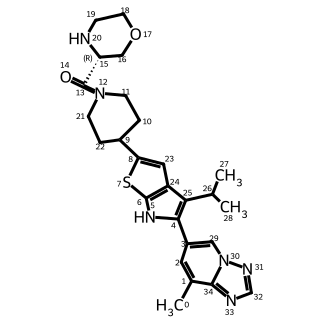 Cc1cc(-c2[nH]c3sc(C4CCN(C(=O)[C@H]5COCCN5)CC4)cc3c2C(C)C)cn2ncnc12